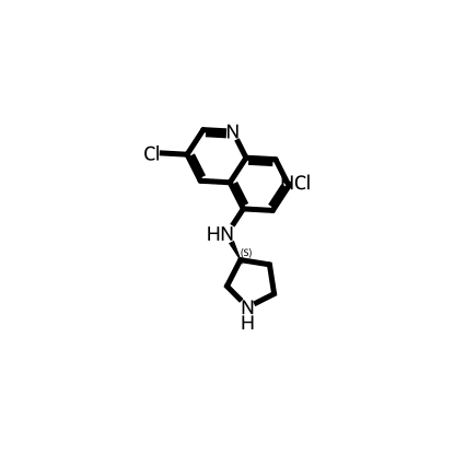 Cl.Clc1cnc2cccc(N[C@H]3CCNC3)c2c1